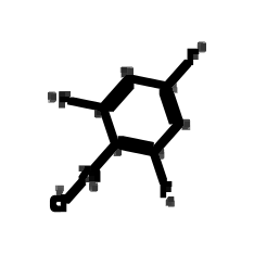 Fc1cc(F)[c]([Zn][Cl])c(F)c1